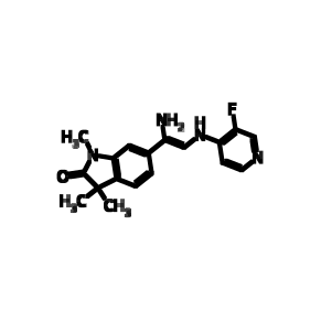 CN1C(=O)C(C)(C)c2ccc(/C(N)=C/Nc3ccncc3F)cc21